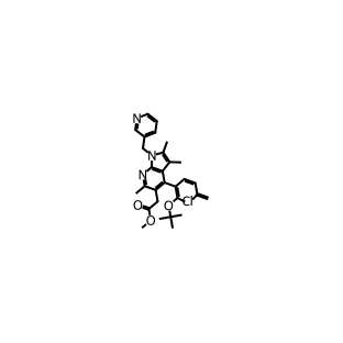 C=C(Cl)/C=C\C(=C(/C)OC(C)(C)C)c1c(CC(=O)OC)c(C)nc2c1c(C)c(C)n2Cc1cccnc1